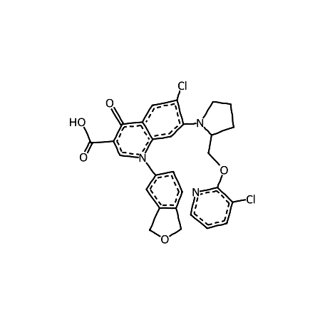 O=C(O)c1cn(-c2ccc3c(c2)COC3)c2cc(N3CCCC3COc3ncccc3Cl)c(Cl)cc2c1=O